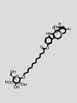 CC[C@H]1C[C@H]2C[C@H]3c4[nH]c5ccc(OC(=O)CCCCCCCCCCOC6O[C@H](CO)[C@@H](O)[C@H](O)[C@H]6O)cc5c4CCN(C2)C13